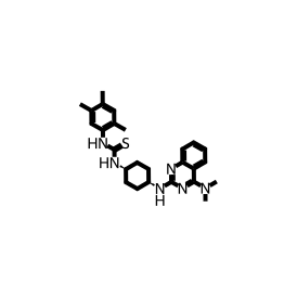 Cc1cc(C)c(NC(=S)N[C@H]2CC[C@@H](Nc3nc(N(C)C)c4ccccc4n3)CC2)cc1C